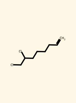 C=CCCCCC(Cl)CCl